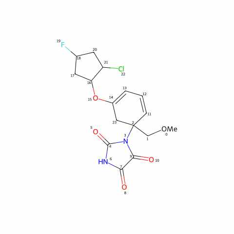 COCC1(N2C(=O)NC(=O)C2=O)C=CC=C(OC2CC(F)CC2Cl)C1